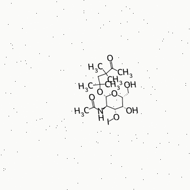 CC(=O)N[C@H]1[C@H](OC(C)(C)CC(C)(C)C(C)=O)O[C@H](CO)[C@H](O)[C@@H]1OI